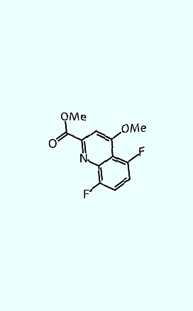 COC(=O)c1cc(OC)c2c(F)ccc(F)c2n1